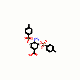 Cc1ccc(S(=O)(=O)O[C@H]2C=C(C(=O)O)C[C@@H](OS(=O)(=O)c3ccc(C)cc3)[C@H]2N)cc1